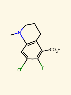 CN1CCCc2c1cc(Cl)c(F)c2C(=O)O